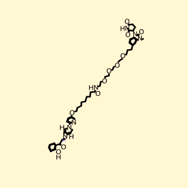 Cn1c(=O)n(C2CCC(=O)NC2=O)c2ccc(CCCOCCOCCOCCOCCNC(=O)CCCCCCCCOc3ccc(N4C[C@H]5C[C@@H]4CN5/C=C/C(=O)c4ccccc4O)nc3)cc21